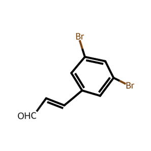 O=CC=Cc1cc(Br)cc(Br)c1